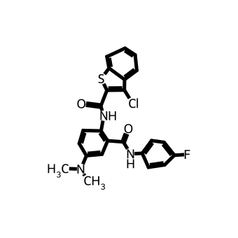 CN(C)c1ccc(NC(=O)c2sc3ccccc3c2Cl)c(C(=O)Nc2ccc(F)cc2)c1